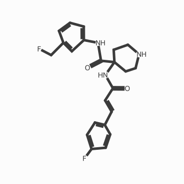 O=C(/C=C/c1ccc(F)cc1)NC1(C(=O)Nc2cccc(CF)c2)CCNCC1